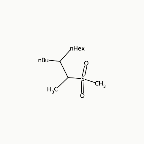 CCCCCCC(CCCC)C(C)S(C)(=O)=O